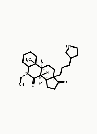 C[C@]12CCCCC1[C@@H](CO)C(=O)[C@H]1[C@@H]3CCC(=O)[C@@]3(CCCC3CCNC3)CC[C@@H]12